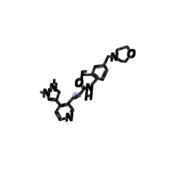 CN1C=C(c2ccncc2/C=C/C(=O)Nc2ccc(CN3CCOCC3)cc2F)CN1C